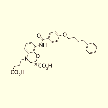 O=C(O)CCCN1C[C@@H](C(=O)O)Oc2c(NC(=O)c3ccc(OCCCCc4ccccc4)cc3)cccc21